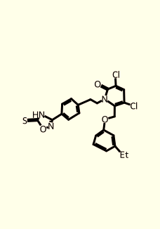 CCc1cccc(OCc2c(Cl)cc(Cl)c(=O)n2CCc2ccc(-c3noc(=S)[nH]3)cc2)c1